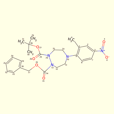 Cc1cc([N+](=O)[O-])ccc1N1CCN(C(=O)OCc2ccccc2)N(C(=O)OC(C)(C)C)CC1